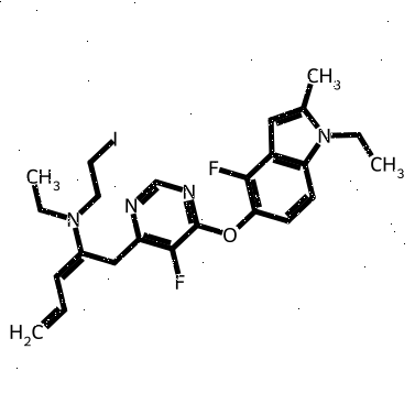 C=C/C=C(\Cc1ncnc(Oc2ccc3c(cc(C)n3CC)c2F)c1F)N(CC)CCI